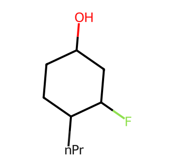 CCCC1CCC(O)CC1F